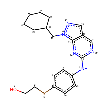 OCCSc1ccc(Nc2ncc3cnn(CC4CCCCC4)c3n2)cc1